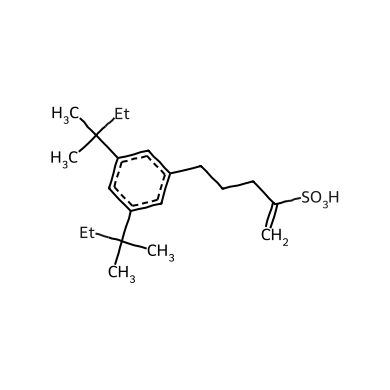 C=C(CCCc1cc(C(C)(C)CC)cc(C(C)(C)CC)c1)S(=O)(=O)O